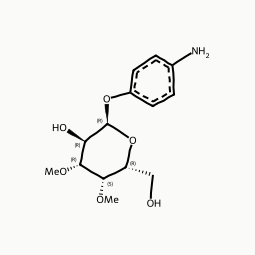 CO[C@@H]1[C@@H](O)[C@@H](Oc2ccc(N)cc2)O[C@H](CO)[C@@H]1OC